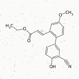 CCOC(=O)/C=C/c1cc(OC)ccc1-c1ccc(O)c(C#N)c1